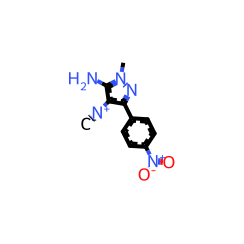 [C-]#[N+]c1c(-c2ccc([N+](=O)[O-])cc2)nn(C)c1N